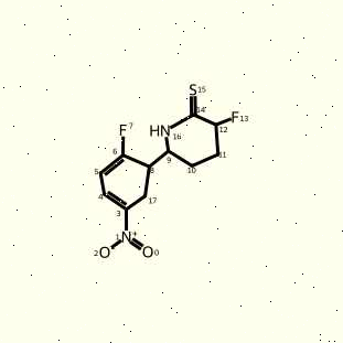 O=[N+]([O-])C1=CC=C(F)C(C2CCC(F)C(=S)N2)C1